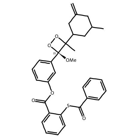 C=C1CC(C)CC(C2(C)OO[C@@]2(OC)c2cccc(OC(=O)c3ccccc3SC(=O)c3ccccc3)c2)C1